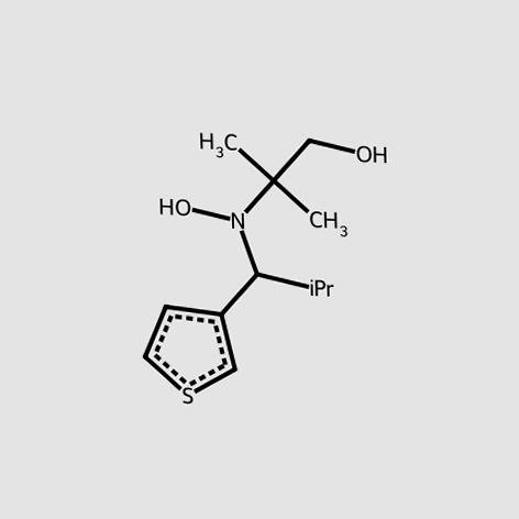 CC(C)C(c1ccsc1)N(O)C(C)(C)CO